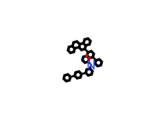 c1ccc(-c2ccc(-c3cccc(N(c4ccccc4)c4ccccc4-c4ccc(-c5cc6c7ccccc7ccc6c6ccccc56)cc4)c3)cc2)cc1